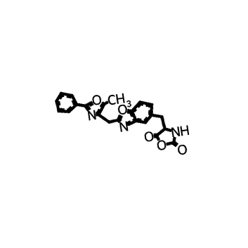 Cc1oc(-c2ccccc2)nc1Cc1nc2cc(CC3NC(=O)OC3=O)ccc2o1